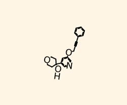 OC1(c2cncc(OCC#Cc3ccccc3)c2)CCOCC1